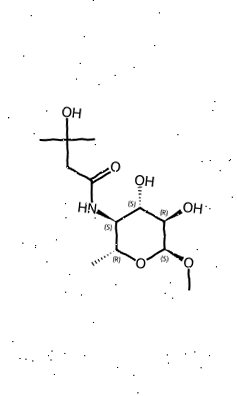 CO[C@H]1O[C@H](C)[C@@H](NC(=O)CC(C)(C)O)[C@H](O)[C@H]1O